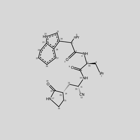 CCCC(C(=O)N[C@@H](CC(C)C)C(=O)N[C@H](C#N)C[C@@H]1CCNC1=O)c1c[nH]c2ccccc12